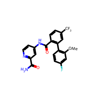 COc1cc(F)ccc1-c1cc(C(F)(F)F)ccc1C(=O)Nc1ccnc(C(N)=O)c1